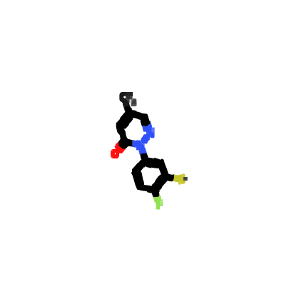 O=c1cc(C(F)(F)F)cnn1-c1ccc(F)c([S])c1